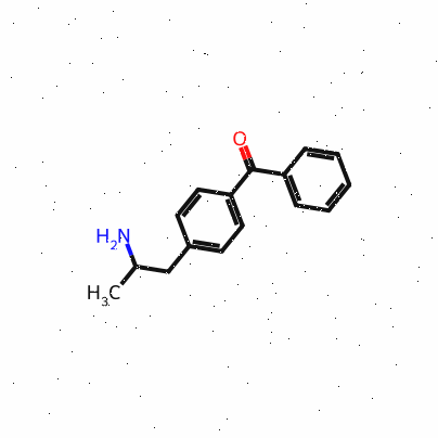 CC(N)Cc1ccc(C(=O)c2ccccc2)cc1